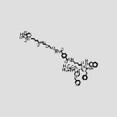 CC(C)(C)NC(=O)[C@@H]1CN(Cc2cccnc2)CCN1C[C@H](C[C@@H](Cc1ccccc1)C(=O)N[C@H]1c2ccccc2C[C@H]1O)OC(=O)CCCCCNC(=O)c1ccc(C(=O)NCCOCCOCCNC(=O)CCCC[C@@H]2SC[C@@H]3NC(=O)N[C@@H]32)cc1